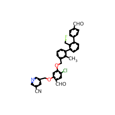 Cc1c(COc2cc(OCc3cncc(C#N)c3)c(C=O)cc2Cl)cccc1-c1cccc(-c2ccc(C=O)cc2)c1CF